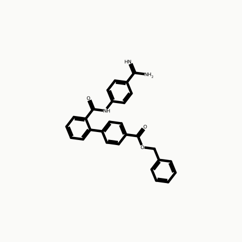 N=C(N)c1ccc(NC(=O)c2ccccc2-c2ccc(C(=O)OCc3ccccc3)cc2)cc1